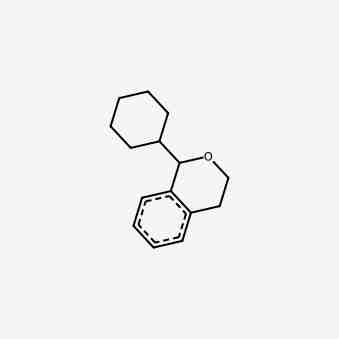 c1ccc2c(c1)CCOC2C1CCCCC1